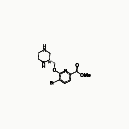 COC(=O)c1ccc(Br)c(OC[C@H]2CNCCN2)n1